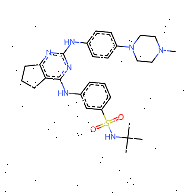 CN1CCN(c2ccc(Nc3nc4c(c(Nc5cccc(S(=O)(=O)NC(C)(C)C)c5)n3)CCC4)cc2)CC1